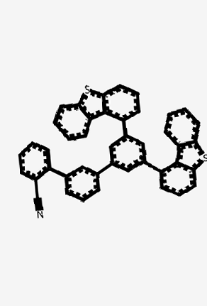 N#Cc1ccccc1-c1cccc(-c2cc(-c3cccc4sc5ccccc5c34)cc(-c3cccc4sc5ccccc5c34)c2)c1